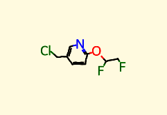 FCC(F)Oc1ccc(CCl)cn1